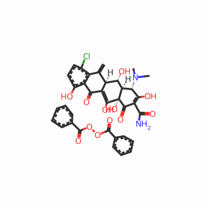 C=C1c2c(Cl)ccc(O)c2C(=O)C2=C(O)[C@]3(O)C(=O)C(C(N)=O)=C(O)[C@@H](N(C)C)[C@@H]3[C@@H](O)[C@H]12.O=C(OOC(=O)c1ccccc1)c1ccccc1